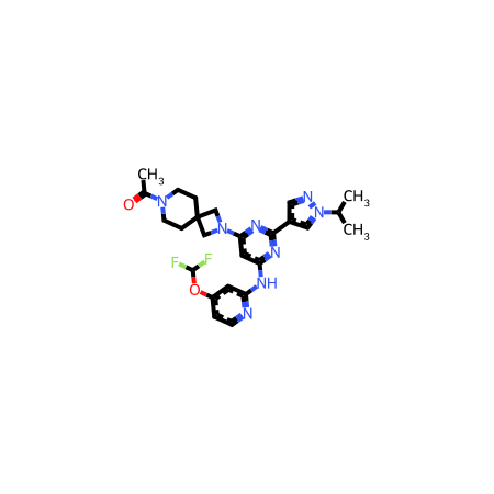 CC(=O)N1CCC2(CC1)CN(c1cc(Nc3cc(OC(F)F)ccn3)nc(-c3cnn(C(C)C)c3)n1)C2